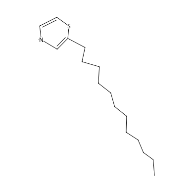 CCCCCCCCCCCCC1=C[N]C=CS1